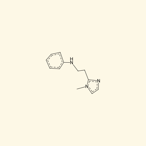 Cn1ccnc1CCNc1ccccc1